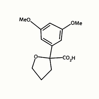 COc1cc(OC)cc(C2(C(=O)O)CCCO2)c1